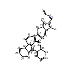 C=C/C=C\C1=C(C)C2=Cc3oc4c5c(ccc4c3CC2N1C)C1C=CC=CC1N5C1=CC=CCC1C